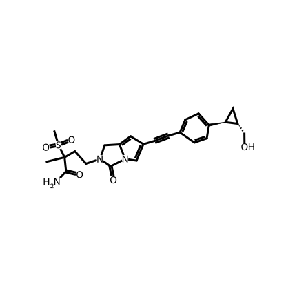 CC(CCN1Cc2cc(C#Cc3ccc([C@H]4C[C@@H]4CO)cc3)cn2C1=O)(C(N)=O)S(C)(=O)=O